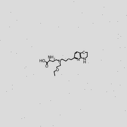 CCOCCN(CCCCc1ccc2c(n1)NCCC2)CC[C@H](N)C(=O)O